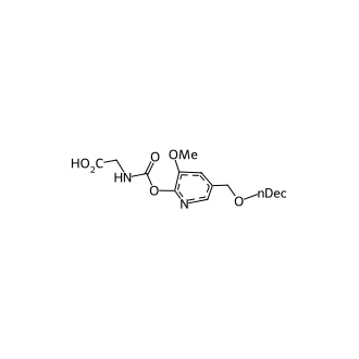 CCCCCCCCCCOCc1cnc(OC(=O)NCC(=O)O)c(OC)c1